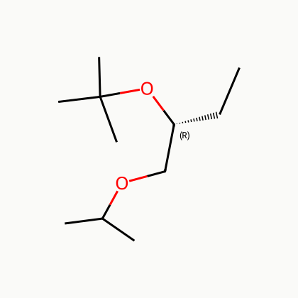 CC[C@H](COC(C)C)OC(C)(C)C